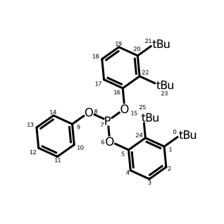 CC(C)(C)c1cccc(OP(Oc2ccccc2)Oc2cccc(C(C)(C)C)c2C(C)(C)C)c1C(C)(C)C